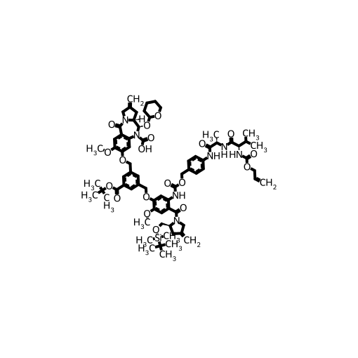 C=CCOC(=O)N[C@H](C(=O)N[C@@H](C)C(=O)Nc1ccc(COC(=O)Nc2cc(OCc3cc(COc4cc5c(cc4OC)C(=O)N4CC(=C)C[C@H]4[C@H](OC4CCCCO4)N5C(=O)O)cc(C(=O)OC(C)(C)C)c3)c(OC)cc2C(=O)N2CC(=C)C[C@H]2CO[Si](C)(C)C(C)(C)C)cc1)C(C)C